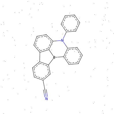 N#Cc1ccc2c(c1)B1c3ccccc3N(c3ccccc3)c3cccc-2c31